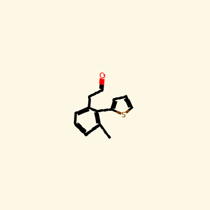 Cc1cccc(CC=O)c1-c1cccs1